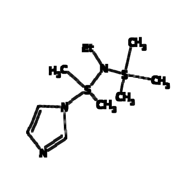 CCN(S(C)(C)C)S(C)(C)n1ccnc1